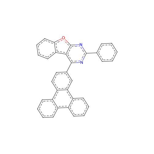 c1ccc(-c2nc(-c3ccc4c5ccccc5c5ccccc5c4c3)c3c(n2)oc2ccccc23)cc1